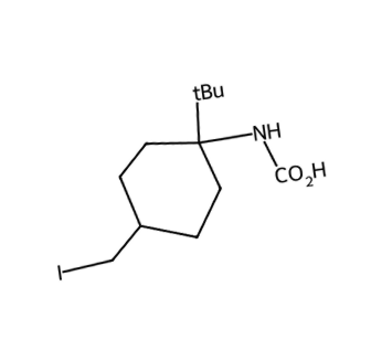 CC(C)(C)C1(NC(=O)O)CCC(CI)CC1